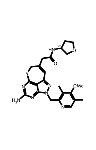 COc1c(C)cnc(Cn2nc3c4c(nc(N)nc42)SCC(CC(=O)N[C@H]2CCOC2)=C3)c1C